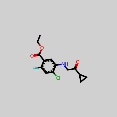 CCOC(=O)c1cc(NCC(=O)C2CC2)c(Cl)cc1F